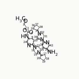 COCCOC(=O)Nc1ccc(N2CCN(C3CCCC3)CC2)nc1.Nc1ccc(N2CCN(C3CCCC3)CC2)nc1